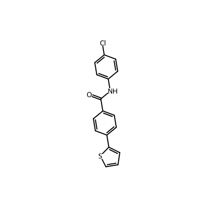 O=C(Nc1ccc(Cl)cc1)c1ccc(-c2cccs2)cc1